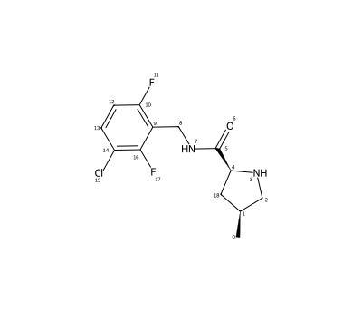 C[C@@H]1CN[C@H](C(=O)NCc2c(F)ccc(Cl)c2F)C1